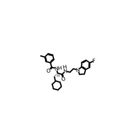 Cc1cccc(C(=O)N[C@@H](CC2CCCCC2)C(=O)NCCN2CCc3cc(F)ccc32)c1